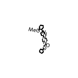 COc1ccccc1-c1ccc(N2CCN(C(=O)COc3ccccc3)CC2)nn1